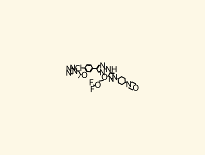 C[C@@H](Cn1cnnn1)Oc1cc(-c2cnc(Nc3cn([C@H]4CC[C@H](N5CCOCC5)CC4)nc3OCCOC(F)F)nc2)ccc1Cl